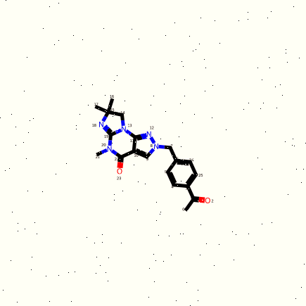 CC(=O)c1ccc(Cn2cc3c(n2)N2CC(C)(C)N=C2N(C)C3=O)cc1